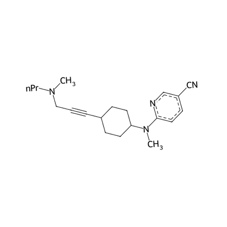 CCCN(C)CC#CC1CCC(N(C)c2ccc(C#N)cn2)CC1